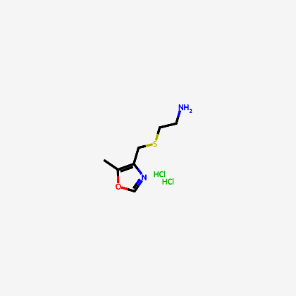 Cc1ocnc1CSCCN.Cl.Cl